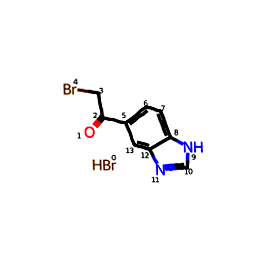 Br.O=C(CBr)c1ccc2[nH]cnc2c1